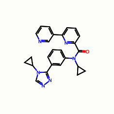 O=C(c1cccc(-c2cccnc2)n1)N(c1cccc(-c2nncn2C2CC2)c1)C1CC1